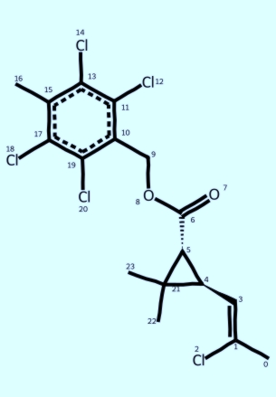 C/C(Cl)=C/[C@@H]1[C@@H](C(=O)OCc2c(Cl)c(Cl)c(C)c(Cl)c2Cl)C1(C)C